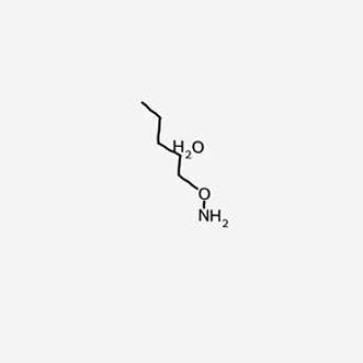 CCCCCON.O